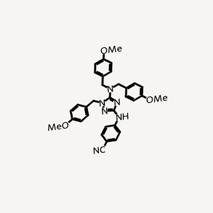 COc1ccc(CN(Cc2ccc(OC)cc2)c2nc(Nc3ccc(C#N)cc3)nn2Cc2ccc(OC)cc2)cc1